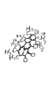 Cc1c(C)c(C)c2c(c1C)c(C)c(C)c1c3c(C)c(C)c(C)c4c3c(c(C)c21)C(=O)C4=O